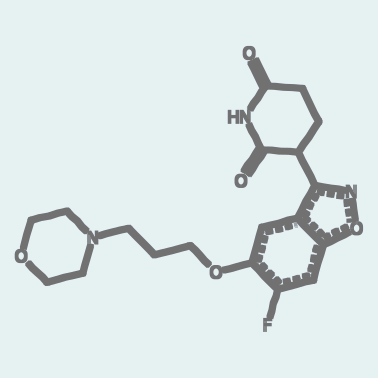 O=C1CCC(c2noc3cc(F)c(OCCCN4CCOCC4)cc23)C(=O)N1